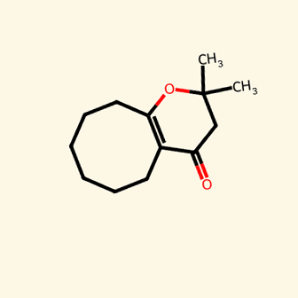 CC1(C)CC(=O)C2=C(CCCCCC2)O1